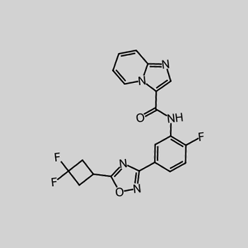 O=C(Nc1cc(-c2noc(C3CC(F)(F)C3)n2)ccc1F)c1cnc2ccccn12